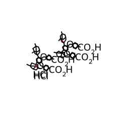 CC12CC3CC(C)(C1)CC(c1cc(C45CC6CC(C)(CC(C)(C6)C4)C5)c(Oc4ccc(C(=O)O)cc4)cc1Oc1ccc(C(=O)O)cc1)(C3)C2.CC12CC3CC(C)(C1)CC(c1cc(C45CC6CC(C)(CC(C)(C6)C4)C5)c(Oc4ccc(C(=O)O)cc4)cc1Oc1ccc(C(=O)O)cc1)(C3)C2.Cl.Cl